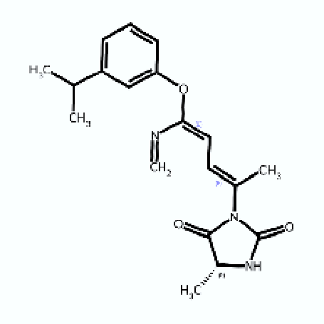 C=N/C(=C\C=C(/C)N1C(=O)N[C@H](C)C1=O)Oc1cccc(C(C)C)c1